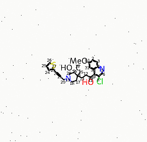 COc1ccc2ncc(Cl)c([C@H](O)CCC3(CC(=O)O)CCN(CC#Cc4cccs4)CC3)c2c1